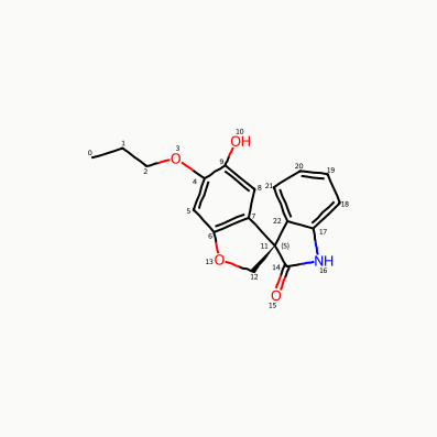 CCCOc1cc2c(cc1O)[C@@]1(CO2)C(=O)Nc2ccccc21